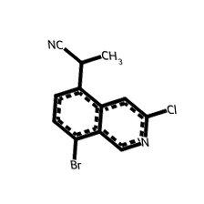 CC(C#N)c1ccc(Br)c2cnc(Cl)cc12